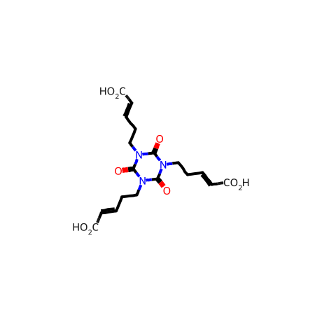 O=C(O)C=CCCn1c(=O)n(CCC=CC(=O)O)c(=O)n(CCC=CC(=O)O)c1=O